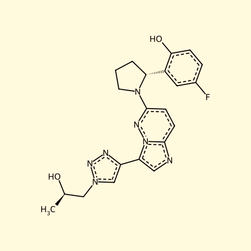 C[C@@H](O)Cn1cc(-c2cnc3ccc(N4CCC[C@@H]4c4cc(F)ccc4O)nn23)nn1